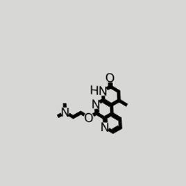 CC1CC(=O)Nc2nc(OCCN(C)C)c3ncccc3c21